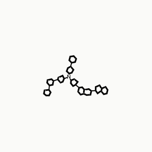 c1ccc(-c2ccc(N(c3ccc(-c4cccc(-c5ccccc5)c4)cc3)c3ccc(-c4ccc5ccc(-c6ccc7ccccc7c6)cc5c4)cc3)cc2)cc1